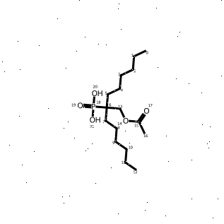 CCCCCCC(CCCCCC)(COC(C)=O)P(=O)(O)O